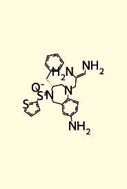 N/C=C(\N)CN1C[C@@H](Cc2ccccc2)N([S+]([O-])c2cccs2)Cc2cc(N)ccc21